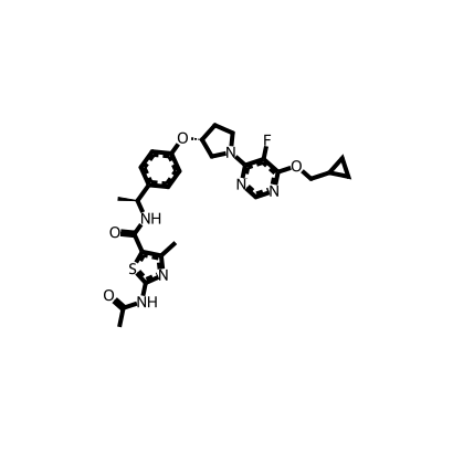 CC(=O)Nc1nc(C)c(C(=O)N[C@@H](C)c2ccc(O[C@@H]3CCN(c4ncnc(OCC5CC5)c4F)C3)cc2)s1